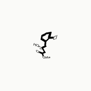 COC(=O)C[C@H](O)Cc1ccccc1Cl